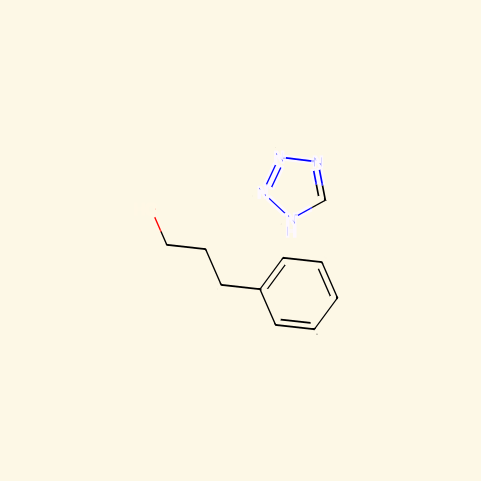 OCCCc1ccccc1.c1nnn[nH]1